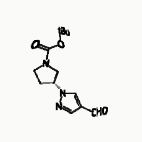 CC(C)(C)OC(=O)N1CC[C@@H](n2cc(C=O)cn2)C1